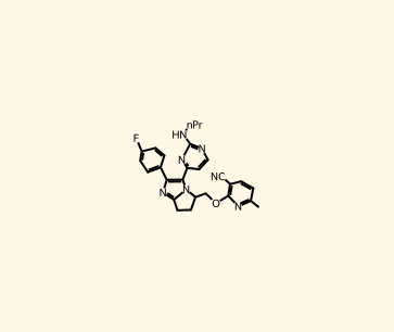 CCCNc1nccc(-c2c(-c3ccc(F)cc3)nc3n2C(COc2nc(C)ccc2C#N)CC3)n1